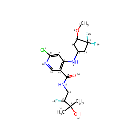 COC1CC(Nc2cc(Cl)ncc2C(=O)NCC(F)C(C)(C)O)CC1(F)F